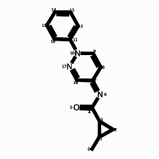 CC1CC1C(=O)N=c1ccn(-c2ccccc2)nc1